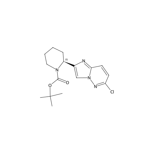 CC(C)(C)OC(=O)N1CCCC[C@H]1c1cn2nc(Cl)ccc2n1